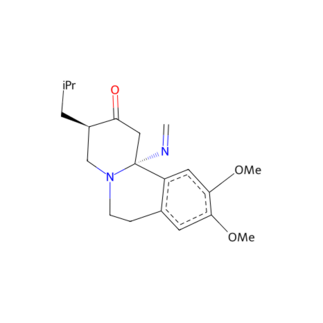 C=N[C@@]12CC(=O)[C@H](CC(C)C)CN1CCc1cc(OC)c(OC)cc12